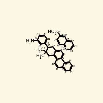 CC1(C)Cc2c(ccc3c2ccc2ccccc23)CC1c1cccc(N)c1.O=C(O)c1ccc2ncccc2c1